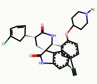 C#Cc1ccc(OC2CCN(C(C)=O)CC2)c([C@H]2NC(=O)[C@@H](C3C=CC=C(Cl)C3)C[C@]23C(=O)Nc2cc(Cl)ccc23)c1